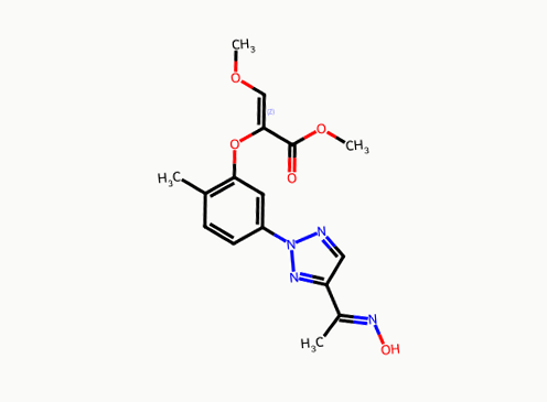 CO/C=C(\Oc1cc(-n2ncc(C(C)=NO)n2)ccc1C)C(=O)OC